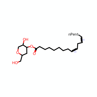 CCCCC/C=C\C/C=C\CCCCCCCC(=O)OC1CC(CO)OCC1O